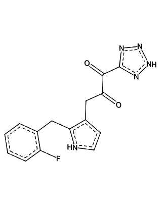 O=C(Cc1cc[nH]c1Cc1ccccc1F)C(=O)c1nn[nH]n1